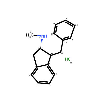 CN[C@H]1Cc2ccccc2C1Cc1ccccc1.Cl